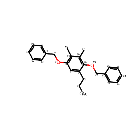 CC(=O)CCc1cc(OCc2ccccc2)c(C)c(C)c1OCc1ccccc1